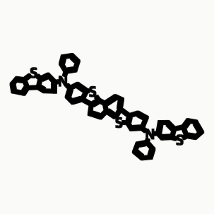 c1ccc(N(c2ccc3c(c2)sc2ccccc23)c2ccc3c(c2)sc2c3ccc3c2ccc2c4ccc(N(c5ccccc5)c5ccc6c(c5)sc5ccccc56)cc4sc23)cc1